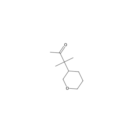 CC(=O)C(C)(C)C1CCCOC1